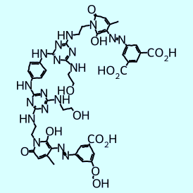 Cc1cc(=O)n(CCNc2nc(NCCO)nc(Nc3ccc(Nc4nc(NCCO)nc(NCCn5c(O)c(N=Nc6cc(C(=O)O)cc(C(=O)O)c6)c(C)cc5=O)n4)cc3)n2)c(O)c1N=Nc1cc(OCO)cc(C(=O)O)c1